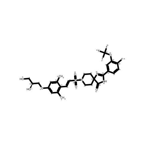 Cc1cc(OC[C@@H](O)CO)cc(C)c1C=CS(=O)(=O)N1CCC2(CC1)N=C(c1ccc(F)c(OC(F)(F)F)c1)NC2=O